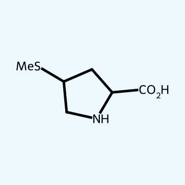 CSC1CNC(C(=O)O)C1